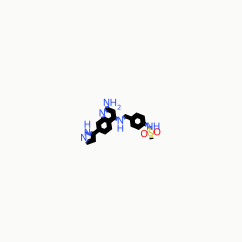 CS(=O)(=O)Nc1ccc(CNc2cc(N)nc3cc(-c4ccn[nH]4)ccc23)cc1